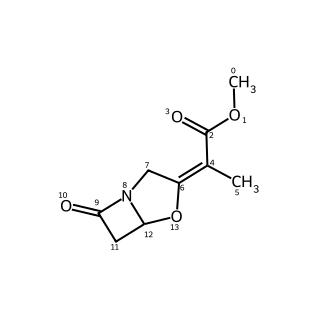 COC(=O)/C(C)=C1\CN2C(=O)CC2O1